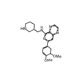 COC1=CC=C(c2cc3nccnc3c(NCC3CCCNC3)n2)CC1OC